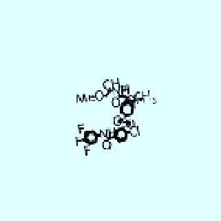 COC[C@@H](C)NC(=O)C[C@@]1(O)C2C[C@@H](S(=O)(=O)c3cc(C(=O)Nc4cc(F)c(F)c(F)c4)ccc3Cl)CC1[C@@H](C)C2